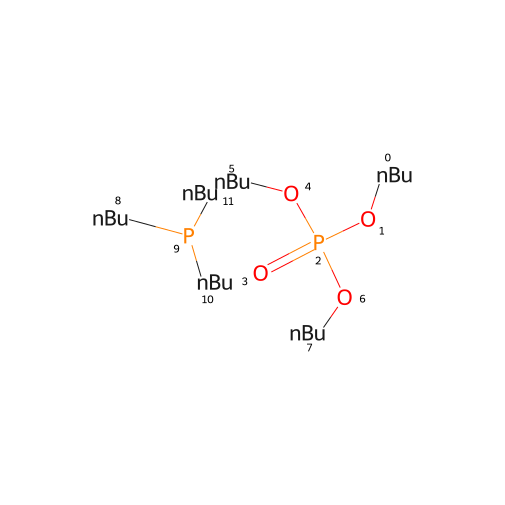 CCCCOP(=O)(OCCCC)OCCCC.CCCCP(CCCC)CCCC